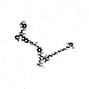 Cc1cccc(-c2nc(CNc3cccc(C(=O)O)c3F)[nH]c2-c2ccc3ncc(OCCNC(=O)OCc4ccc(NC(=O)[C@H](CCCNC(N)=O)NC(=O)[C@@H](NC(=O)CCOCCOCCOCCOCCN5C(=O)C=CC5=O)C(C)C)cc4)cc3c2)n1